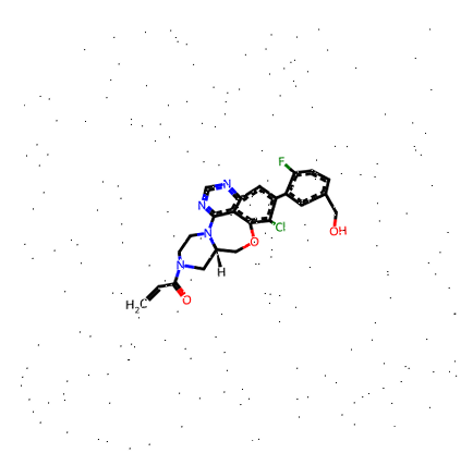 C=CC(=O)N1CCN2c3ncnc4cc(-c5cc(CO)ccc5F)c(Cl)c(c34)OC[C@@H]2C1